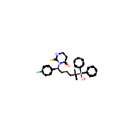 CC(C)(CCCC(c1ccc(F)cc1)N1C(=O)CCNC1=S)[Si](O)(c1ccccc1)c1ccccc1